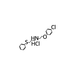 Cl.Clc1ccc(OCCNCCCSc2ccccc2)cc1